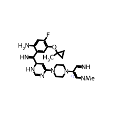 CN/C=C(\C=N)N1CCN(C2=CC(C(=N)c3cc(OC4(C)CC4)c(F)cc3N)NC=N2)CC1